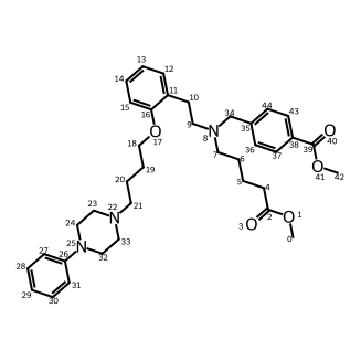 COC(=O)CCCCN(CCc1ccccc1OCCCCN1CCN(c2ccccc2)CC1)Cc1ccc(C(=O)OC)cc1